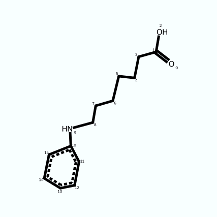 O=C(O)CCCCCCNc1ccccc1